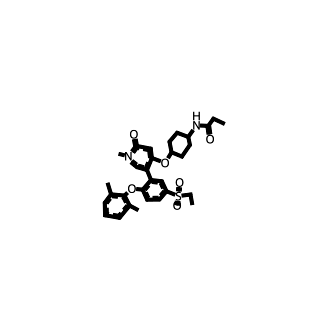 CCC(=O)NC1CCC(Oc2cc(=O)n(C)cc2-c2cc(S(=O)(=O)CC)ccc2Oc2c(C)cccc2C)CC1